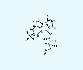 CCCS(=O)(=O)NC(=O)C=Cc1c(C)nn(C)c1-n1ccc2cc(C(F)(F)F)cnc21